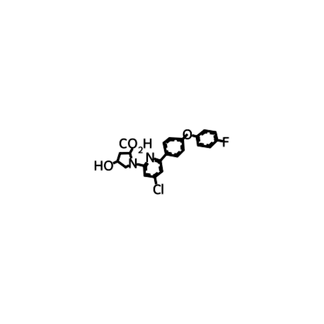 O=C(O)C1CC(O)CN1c1cc(Cl)cc(-c2ccc(Oc3ccc(F)cc3)cc2)n1